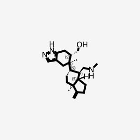 C=C1CC[C@H]2[C@H](CNC)[C@@H]([C@@]3(C)Cc4cn[nH]c4C[C@@H]3CO)CC[C@]12C